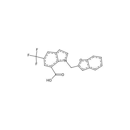 O=C(O)c1cc(C(F)(F)F)cc2ccn(Cc3cc4ccccc4o3)c12